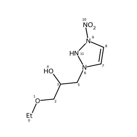 CCOCC(O)CN1C=CN([N+](=O)[O-])N1